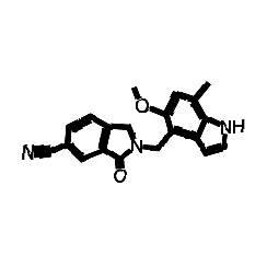 COc1cc(C)c2[nH]ccc2c1CN1Cc2ccc(C#N)cc2C1=O